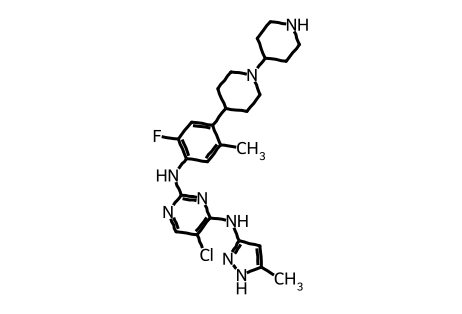 Cc1cc(Nc2nc(Nc3cc(C)c(C4CCN(C5CCNCC5)CC4)cc3F)ncc2Cl)n[nH]1